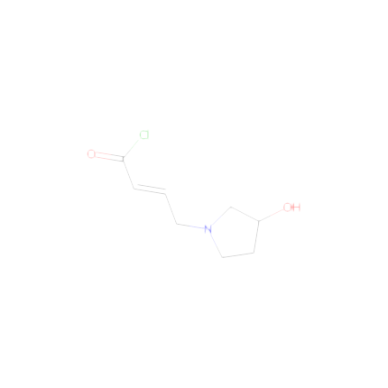 O=C(Cl)/C=C/CN1CCC(O)C1